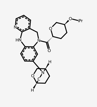 CC(C)O[C@H]1CC[C@H](C(=O)N2Cc3cccnc3Nc3ccc(N4C[C@@H]5CC[C@H]4CO5)cc32)OC1